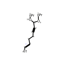 CC/C=C/CCC#CC(OCCC)OCCC